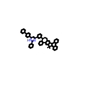 CC1(C)c2cc3c(cc2-c2c1c1ccccc1c1ccccc21)CCC(c1cccc(C2=CC(c4ccc(-c5ccccc5)cc4)NC(c4ccccc4)=N2)c1)c1ccccc1-3